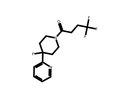 O=C(CCC(F)(F)F)N1CCC(F)(c2ccccn2)CC1